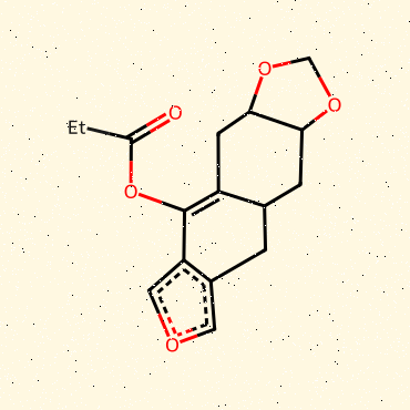 CCC(=O)OC1=C2CC3OCOC3CC2Cc2cocc21